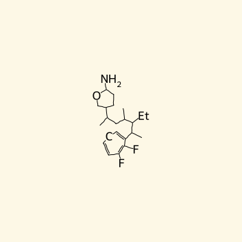 CCC(C(C)CC(C)C1CCC(N)OC1)C(C)C1=CCC=CC(F)=C1F